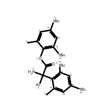 CC(=O)C(P)(C(=O)Oc1c(C)cc(C(C)(C)C)cc1C(C)(C)C)c1c(C)cc(C(C)(C)C)cc1C(C)(C)C